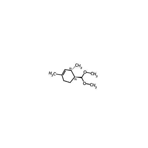 COC(OC)[C@H]1CCC(C)=C[C@@H]1C